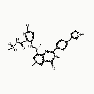 Cc1cc([C@@H](C)Nc2ccc(Cl)nc2C(=O)NS(C)(=O)=O)c2nc(-c3ccc(-c4cn(C)cn4)cc3)n(C)c(=O)c2c1